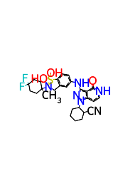 CC1(N2Cc3cc(Nc4nn(C5CCCCC5C#N)c5cc[nH]c(=O)c45)ccc3S2(O)O)CCC(F)(F)CC1